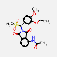 CCOc1cc([C@H](N2C(=O)c3cccc(NC(C)=O)c3C2=O)S(C)(=O)=O)ccc1OC